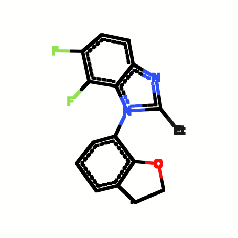 CCc1nc2ccc(F)c(F)c2n1-c1cccc2c1OC[CH]2